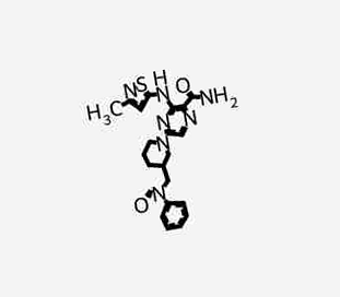 Cc1cc(Nc2nc(N3CCCC(CN(C=O)c4ccccc4)C3)cnc2C(N)=O)sn1